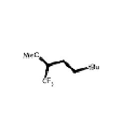 COC(CCC(C)(C)C)C(F)(F)F